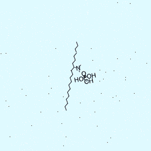 CCCCCCCCCCCCC(CCCCCCC)N(C)C.O=P(O)(O)O